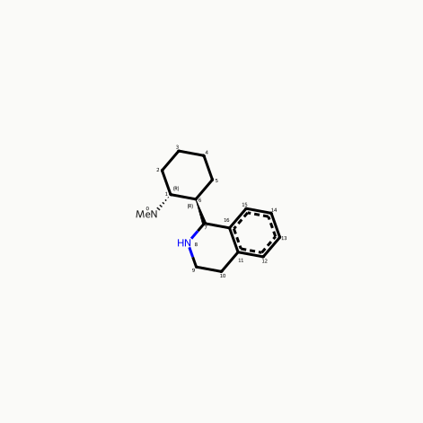 CN[C@@H]1CCCC[C@H]1C1NCCc2ccccc21